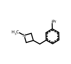 CC(C)c1cccc(CC2CN(C)C2)c1